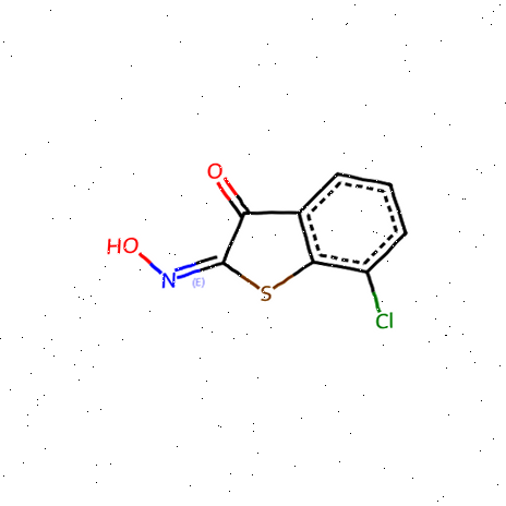 O=C1/C(=N\O)Sc2c(Cl)cccc21